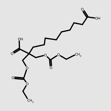 CCOC(=O)OCC(CCCCCCCCC(=O)O)(COC(=O)OCC)C(=O)O